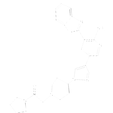 Nc1ncc(-c2cnn(C3CCN(CC(=O)N4CCCC4)CC3)c2)cc1-c1nc2ccccc2s1